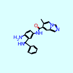 Cc1cn2cncc2cc1C(=O)Nc1ccc(N)c(C(=N)c2ccccc2)c1